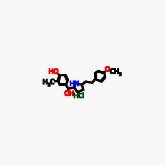 COc1ccc(CCC2CCC(C(O)c3ccc(O)c(C)c3)N2)cc1.Cl